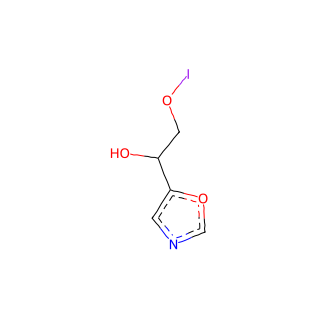 OC(COI)c1cnco1